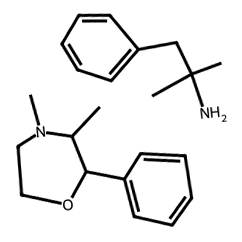 CC(C)(N)Cc1ccccc1.CC1C(c2ccccc2)OCCN1C